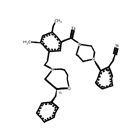 Cc1cc(C)c(C(=O)N2CCN(c3ccccc3C#N)CC2)cc1CN1CCO[C@@H](c2ccccc2)C1